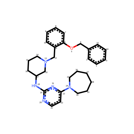 c1ccc(COc2ccccc2CN2CCCC(Nc3nccc(N4CCCCCC4)n3)C2)cc1